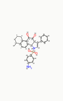 CC1CCCc2c1ccc1c2C(=O)C(=O)C2C(c3ccccc3)=CN(S(=O)(=O)c3ccc(N)cc3)C12